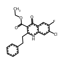 CCOC(=O)c1c(CCc2ccccc2)[nH]c2cc(Cl)c(F)cc2c1=O